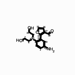 Nc1ccc(N(CCO)CCO)c(-c2occc2C=O)c1